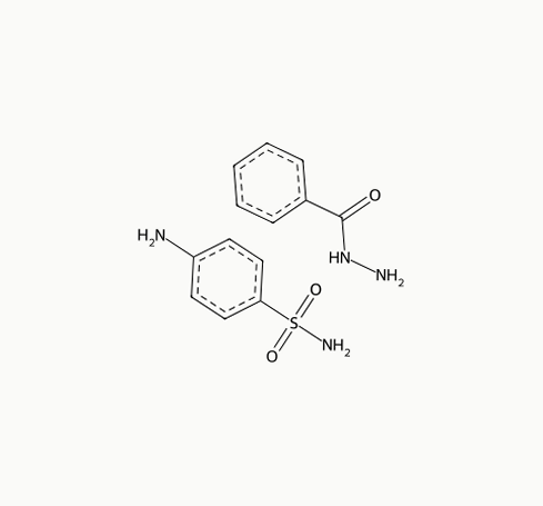 NNC(=O)c1ccccc1.Nc1ccc(S(N)(=O)=O)cc1